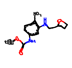 CC(C)(C)OC(=O)Nc1ccc([N+](=O)[O-])c(NCC2CCO2)c1